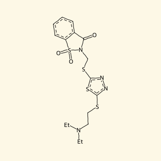 CCN(CC)CCSc1nnc(SCN2C(=O)c3ccccc3S2(=O)=O)s1